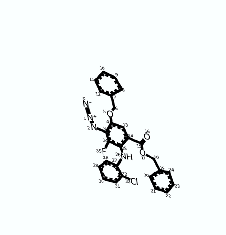 [N-]=[N+]=Nc1c(OCc2ccccc2)cc(C(=O)OCc2ccccc2)c(Nc2ccccc2Cl)c1F